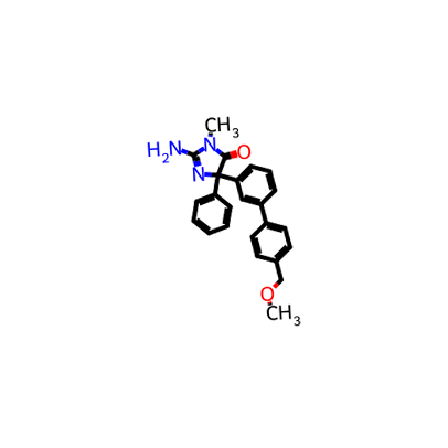 COCc1ccc(-c2cccc(C3(c4ccccc4)N=C(N)N(C)C3=O)c2)cc1